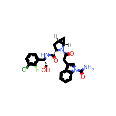 NC(=O)n1cc(CC(=O)N2[C@@H]3C[C@@H]3C[C@H]2C(=O)N[C@H](CO)c2cccc(Cl)c2F)c2ccccc21